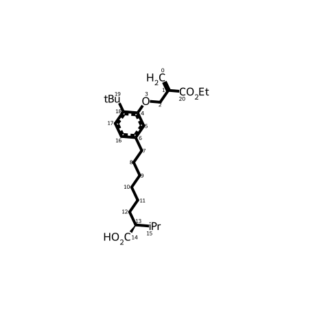 C=C(COc1cc(CCCCCC[C@H](C(=O)O)C(C)C)ccc1C(C)(C)C)C(=O)OCC